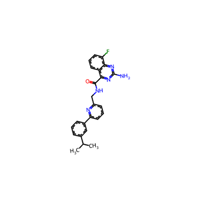 CC(C)c1cccc(-c2cccc(CNC(=O)c3nc(N)nc4c(F)cccc34)n2)c1